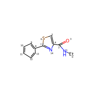 CCNC(=O)c1csc(-c2ccccc2)n1